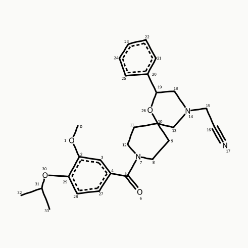 COc1cc(C(=O)N2CCC3(CC2)CN(CC#N)CC(c2ccccc2)O3)ccc1OC(C)C